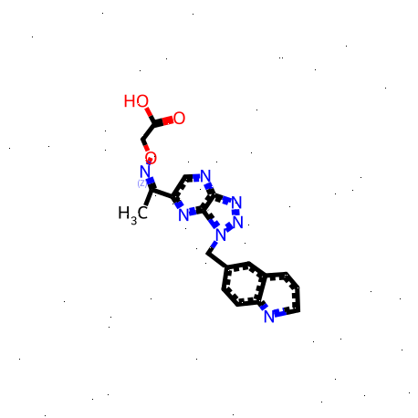 C/C(=N/OCC(=O)O)c1cnc2nnn(Cc3ccc4ncccc4c3)c2n1